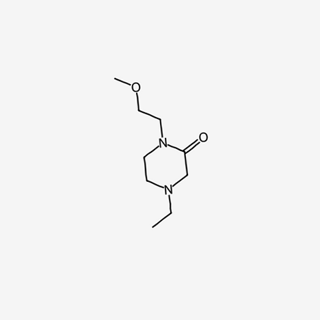 CCN1CCN(CCOC)C(=O)C1